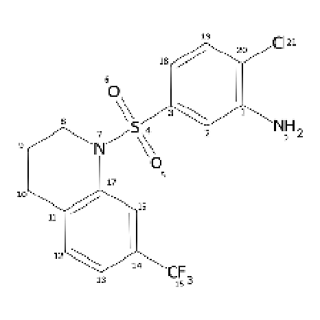 Nc1cc(S(=O)(=O)N2CCCc3ccc(C(F)(F)F)cc32)ccc1Cl